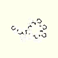 C[C@H](NC(=O)CNC(=O)[C@H](COC(C)(C)C)NC(=O)[C@H](COC(C)(C)C)NC(=O)[C@@H]1CCCN1)C(=O)N1CCC[C@H]1C(=O)N1CCC[C@H]1C(=O)N1CCC[C@H]1C(=O)N[C@@H](COC(C)(C)C)C(=O)O